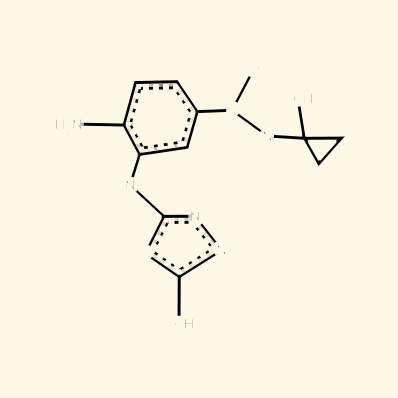 Cc1nnc(Nc2cc([S+]([O-])NC3(C)CC3)ccc2N)s1